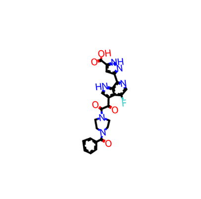 O=C(O)c1cc(-c2ncc(F)c3c(C(=O)C(=O)N4CCN(C(=O)c5ccccc5)CC4)c[nH]c23)n[nH]1